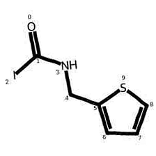 O=C(I)NCc1cccs1